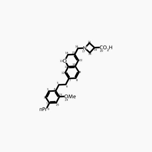 CCCc1ccc(CCc2ccc3c(c2)OCC(CN2CC(C(=O)O)C2)=C3)c(OC)c1